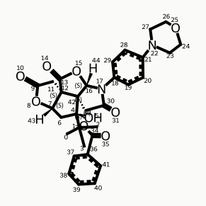 CC(C)(C)[C@]1(O)C[C@@H]2OC(=O)C[C@@]23C(=O)O[C@@H]2N(c4ccc(N5CCOCC5)cc4)C(=O)[C@H](OC(=O)c4ccccc4)[C@]213